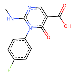 CNc1ncc(C(=O)O)c(=O)n1-c1ccc(F)cc1